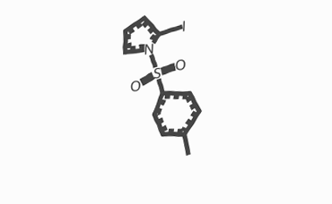 Cc1ccc(S(=O)(=O)n2cccc2I)cc1